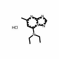 CCN(CC)c1cc(C)nc2ncnn12.Cl